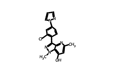 Cc1cc(O)c2c(n1)c(-c1ccc(-n3cccn3)cc1Cl)nn2C